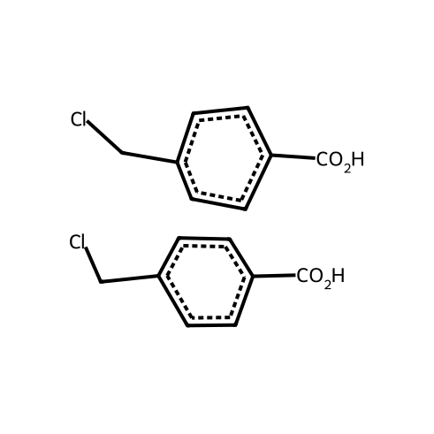 O=C(O)c1ccc(CCl)cc1.O=C(O)c1ccc(CCl)cc1